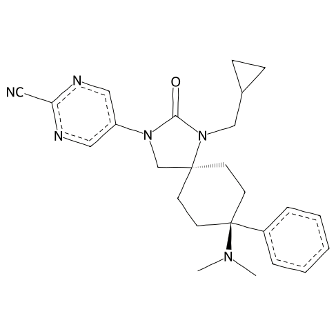 CN(C)[C@]1(c2ccccc2)CC[C@]2(CC1)CN(c1cnc(C#N)nc1)C(=O)N2CC1CC1